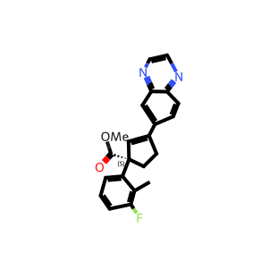 COC(=O)[C@]1(c2cccc(F)c2C)C=C(c2ccc3nccnc3c2)CC1